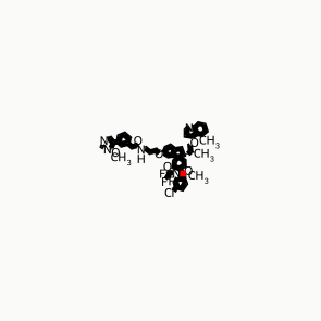 COC(=O)C1(N(C(=O)C(F)(F)F)c2cccc(Cl)c2)CCC2(CC1)c1cc(OCCCNC(=O)Cc3cccc(-c4cncnc4OC)c3)ccc1C[C@@H]2C[C@@H](C)COc1ccnc2c1[C@H](C)CCC2